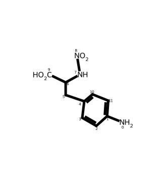 Nc1ccc(CC(N[N+](=O)[O-])C(=O)O)cc1